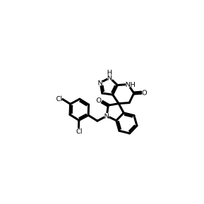 O=C1CC2(C(=O)N(Cc3ccc(Cl)cc3Cl)c3ccccc32)c2cn[nH]c2N1